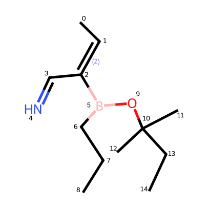 C/C=C(\C=N)B(CCC)OC(C)(C)CC